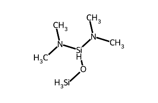 CN(C)[SiH](O[SiH3])N(C)C